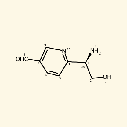 N[C@@H](CO)c1ccc(C=O)cn1